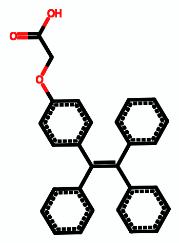 O=C(O)COc1ccc(C(=C(c2ccccc2)c2ccccc2)c2ccccc2)cc1